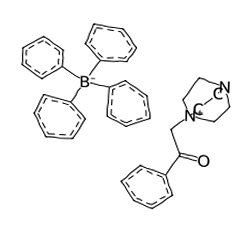 O=C(C[N+]12CCN(CC1)CC2)c1ccccc1.c1ccc([B-](c2ccccc2)(c2ccccc2)c2ccccc2)cc1